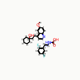 COc1ccc2nccc(CCC3(O)CCCCC3)c2c1.O=C(O)N/C=C/c1cc(F)ccc1F